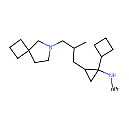 CCCNC1(C2CCC2)CC1CC(C)CN1CCC2(CCC2)C1